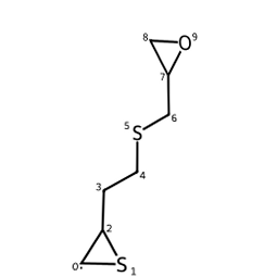 [CH]1SC1CCSCC1CO1